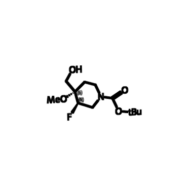 CO[C@]1(CO)CCN(C(=O)OC(C)(C)C)C[C@H]1F